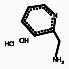 Cl.Cl.NCc1ccccn1